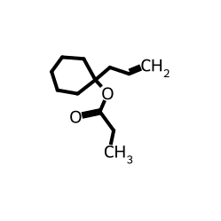 C=CCC1(OC(=O)CC)CCCCC1